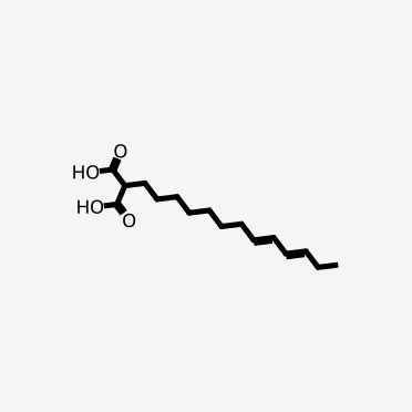 CCC=CC=CCCCCCCCC(C(=O)O)C(=O)O